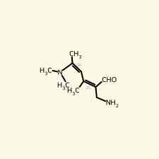 C/C(=C/C(C)=C(\C=O)CN)N(C)C